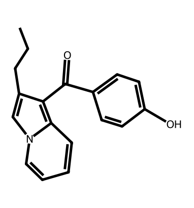 CCCc1cn2ccccc2c1C(=O)c1ccc(O)cc1